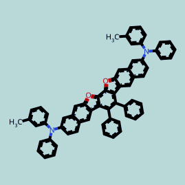 Cc1cccc(N(c2ccccc2)c2ccc3cc4c(cc3c2)oc2c3oc5cc6cc(N(c7ccccc7)c7cccc(C)c7)ccc6cc5c3c(-c3ccccc3)c(-c3ccccc3)c42)c1